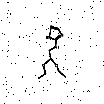 CCOC(CNc1ncn[nH]1)OCC